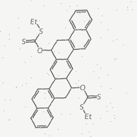 CCSC(=S)OC1Cc2c(ccc3ccccc23)C2=CC3C(OC(=S)SCC)Cc4c(ccc5ccccc45)C3C=C21